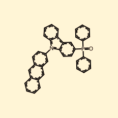 O=P(c1ccccc1)(c1ccccc1)c1ccc2c(c1)c1ccccc1n2-c1ccc2cc3ccccc3cc2c1